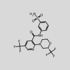 NS(=O)(=O)c1cccc(NC(=O)c2cc(C(F)(F)F)cnc2N2CCO[C@@H](C(F)(F)F)C2)c1